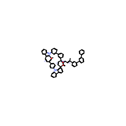 C=C(/C=C\C=C(/C)c1cccc(-c2cccc(-c3ccccc3)c2)c1)C(=C)/C=C\C(=C/C)c1cccc(-c2cccc(-n3c(CC)c(/C=C\C(=C)c4ccc(-n5c6ccccc6c6ccccc65)cc4)c4ccccc43)c2)c1